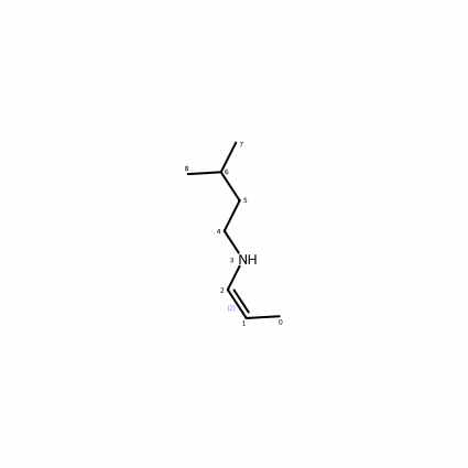 C/C=C\NCCC(C)C